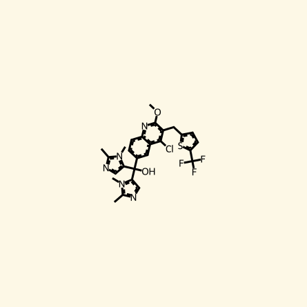 COc1nc2ccc(C(O)(c3cnc(C)n3C)c3cnc(C)n3C)cc2c(Cl)c1Cc1ccc(C(F)(F)F)s1